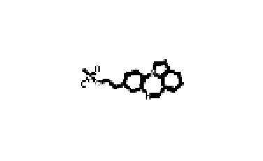 CS(=O)(=O)OCCC1C=CC2=C(C1)N=CC1=CCCc3ccn2c31